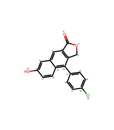 O=C1OCc2c1cc1cc(O)ccc1c2-c1ccc(Cl)cc1